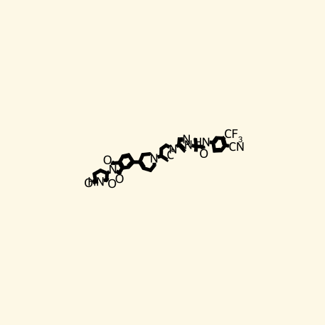 CC(C)(C(=O)Nc1ccc(C#N)c(C(F)(F)F)c1)n1cc(N2CCC(N3CCC=C(c4ccc5c(c4)C(=O)N(C4CCC(=O)NC4=O)C5=O)CC3)CC2)cn1